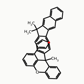 CC1(C)c2cc(-c3cccc4c3C(C)(c3ccccc3)c3ccccc3O4)ccc2-c2cc3ccccc3cc21